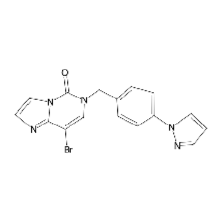 O=c1n(Cc2ccc(-n3cccn3)cc2)cc(Br)c2nccn12